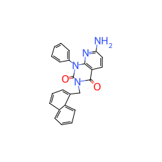 Nc1ccc2c(=O)n(Cc3cccc4ccccc34)c(=O)n(-c3ccccc3)c2n1